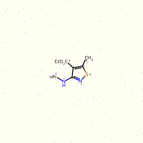 CCCNc1nsc(C)c1C(=O)OCC